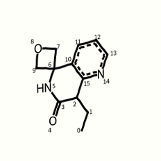 CCC1C(=O)NC2(COC2)c2cccnc21